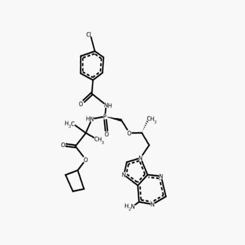 C[C@H](Cn1cnc2c(N)ncnc21)OC[P@](=O)(NC(=O)c1ccc(Cl)cc1)NC(C)(C)C(=O)OC1CCC1